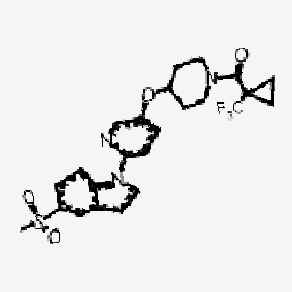 CS(=O)(=O)c1ccc2c(ccn2-c2ccc(OC3CCN(C(=O)C4(C(F)(F)F)CC4)CC3)cn2)c1